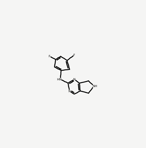 Fc1cc(F)cc(Nc2ncc3c(n2)CNC3)c1